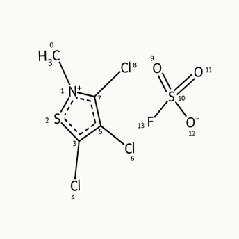 C[n+]1sc(Cl)c(Cl)c1Cl.O=S(=O)([O-])F